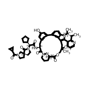 CCn1c(-c2cccnc2C(C)C)c2c3cc(ccc31)-c1cc(O)cc(c1)C[C@H](NC(=O)[C@H](C1CCCC1)N1CC[C@]3(CCN(C(=O)C4CC4)C3)C1=O)C(=O)N1CCC[C@H](N1)C(=O)OCC(C)(C)C2